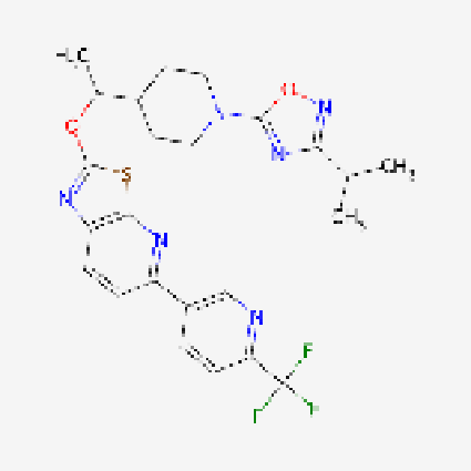 CC(C)c1noc(N2CCC(C(C)Oc3nc4ccc(-c5ccc(C(F)(F)F)nc5)nc4s3)CC2)n1